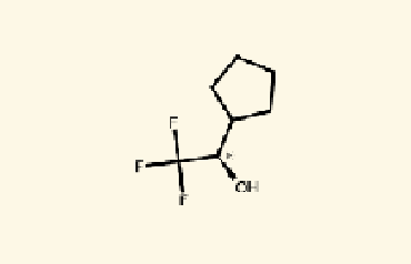 O[C@H](C1CCCC1)C(F)(F)F